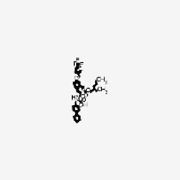 CCCCC(CC)COC(=O)N1Cc2cc(OCc3ccc(C(F)(F)F)cc3)ccc2C[C@H]1C(=O)N[C@@H](Cc1ccc(-c2ccccc2)cc1)C(=O)O